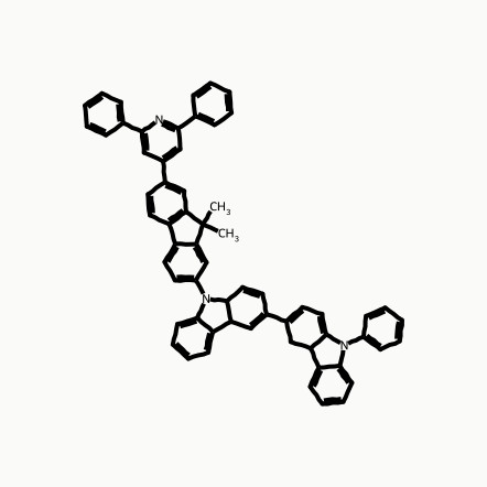 CC1(C)c2cc(-c3cc(-c4ccccc4)nc(-c4ccccc4)c3)ccc2-c2ccc(N3c4ccccc4C4C=C(C5=CC=C6C(C5)c5ccccc5N6c5ccccc5)C=CC43)cc21